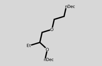 CCCCCCCCCCCCOCC(CC)OCCCCCCCCCC